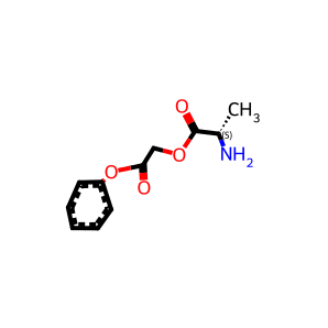 C[C@H](N)C(=O)OCC(=O)Oc1ccccc1